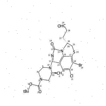 C[C@H]1CN(C(=O)OC(C)(C)C)CCN1c1nc(=O)n2c3c(c(Br)c(Cl)cc13)SC[C@H]2CCC=O